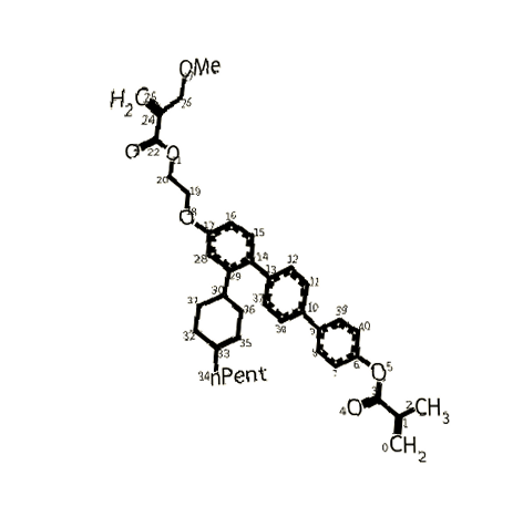 C=C(C)C(=O)Oc1ccc(-c2ccc(-c3ccc(OCCOC(=O)C(=C)COC)cc3C3CCC(CCCCC)CC3)cc2)cc1